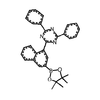 CC1(C)OB(c2cc(-c3nc(-c4ccccc4)nc(-c4ccccc4)n3)c3ccccc3c2)OC1(C)C